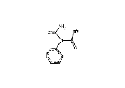 CCCC(=O)N(C(N)=O)c1ccccc1